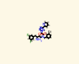 CCc1cccc(CN(C[C@@H](O)[C@@H](N)Cc2cc(F)cc(F)c2)C(=O)Cn2nnc(-c3ccccn3)n2)c1